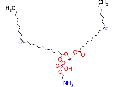 CCCCCC/C=C\CCCCCCCC(=O)OC[C@H](COP(=O)(O)OCCN)OC(=O)CCCCCCCCC/C=C\CCCCCCCC